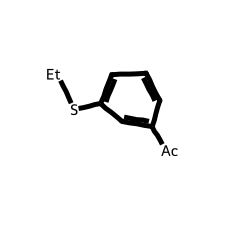 CCSc1cccc(C(C)=O)c1